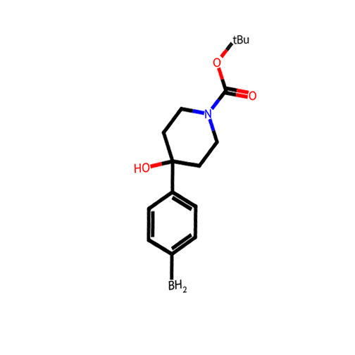 Bc1ccc(C2(O)CCN(C(=O)OC(C)(C)C)CC2)cc1